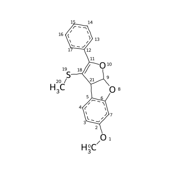 COc1ccc2c(c1)OC1OC(c3ccccc3)=C(SC)C21